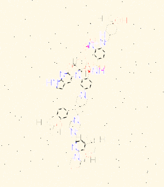 CC(C)Oc1ccccc1[C@H]1CN(Cc2cc3c(c(N4CCOC[C@@H]4C)n2)OCCC3(C)C)CCN1C1CC2(CCN(c3ccc(C(=O)NS(=O)(=O)c4ccc(NCC5CCC(C)(O)CC5)c([N+](=O)[O-])c4)c(N4c5cc6cc[nH]c6nc5O[C@H]5COCC[C@@H]54)c3)CC2)C1